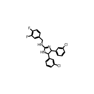 Fc1ccc(CNC2=NC(c3cccc(Cl)c3)C(c3cccc(Cl)c3)N2)cc1F